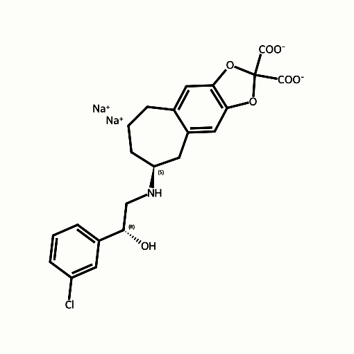 O=C([O-])C1(C(=O)[O-])Oc2cc3c(cc2O1)C[C@@H](NC[C@H](O)c1cccc(Cl)c1)CCC3.[Na+].[Na+]